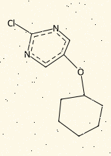 Clc1ncc(OC2CCCCC2)cn1